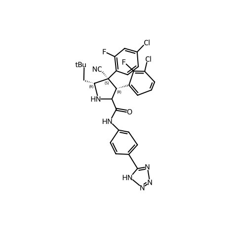 CC(C)(C)C[C@H]1NC(C(=O)Nc2ccc(-c3nnn[nH]3)cc2)[C@@H](c2cccc(Cl)c2F)[C@]1(C#N)c1ccc(Cl)cc1F